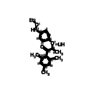 CCOPc1ccc(OC(C)C(=O)c2c(C)cc(C)cc2C)cc1.[LiH]